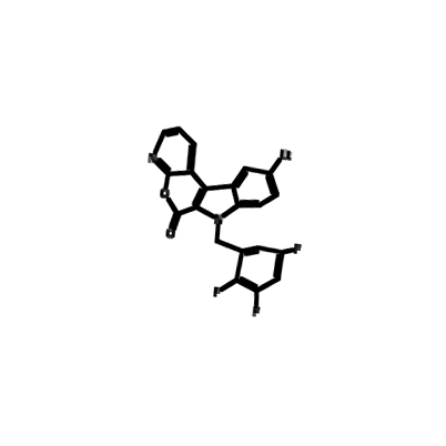 CCc1ccc2c(c1)c1c3cccnc3oc(=O)c1n2Cc1cc(F)cc(F)c1F